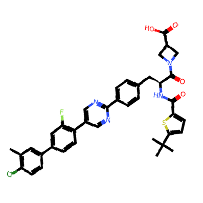 Cc1cc(-c2ccc(-c3cnc(-c4ccc(C[C@H](NC(=O)c5ccc(C(C)(C)C)s5)C(=O)N5CC(C(=O)O)C5)cc4)nc3)c(F)c2)ccc1Cl